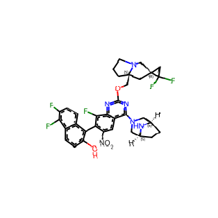 O=[N+]([O-])c1cc2c(N3C[C@H]4CC[C@@H](C3)N4)nc(OC[C@@]34CCCN3C[C@]3(CC3(F)F)C4)nc2c(F)c1-c1c(O)ccc2c(F)c(F)ccc12